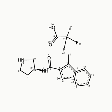 Cc1c(C(=O)N[C@H]2CCNC2)[nH]c2ccccc12.O=C(O)C(F)(F)F